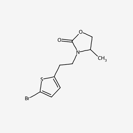 CC1COC(=O)N1CCc1ccc(Br)s1